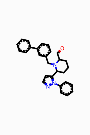 O=CC1CCCC(c2ccnn2-c2ccccc2)N1Cc1cccc(-c2ccccc2)c1